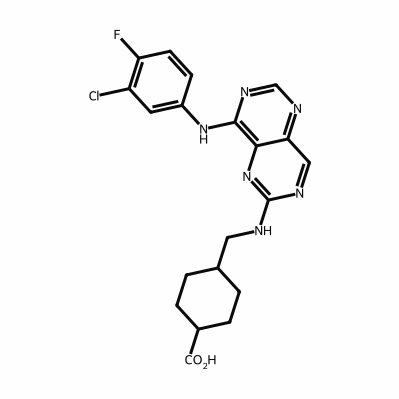 O=C(O)C1CCC(CNc2ncc3ncnc(Nc4ccc(F)c(Cl)c4)c3n2)CC1